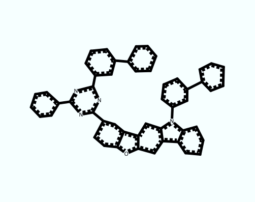 c1ccc(-c2cccc(-c3nc(-c4ccccc4)nc(-c4ccc5oc6cc7c8ccccc8n(-c8cccc(-c9ccccc9)c8)c7cc6c5c4)n3)c2)cc1